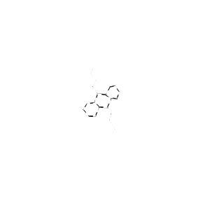 CCCCc1c2ccccc2c(CCCC)c2ccccc12